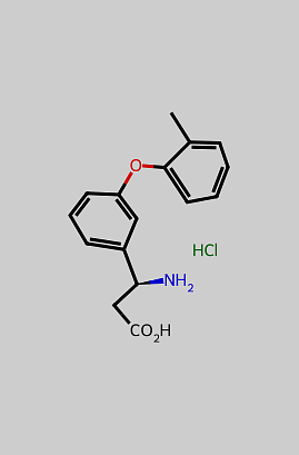 Cc1ccccc1Oc1cccc([C@@H](N)CC(=O)O)c1.Cl